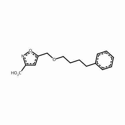 O=C(O)c1cc(COCCCCc2ccccc2)on1